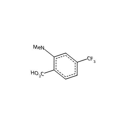 CNc1cc(C(F)(F)F)ccc1C(=O)O